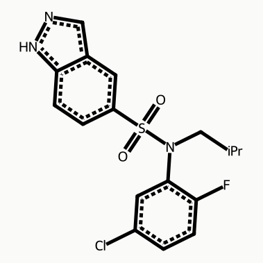 CC(C)CN(c1cc(Cl)ccc1F)S(=O)(=O)c1ccc2[nH]ncc2c1